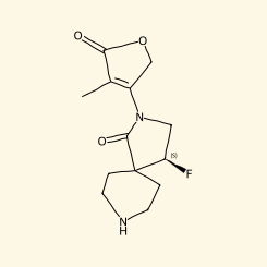 CC1=C(N2C[C@@H](F)C3(CCNCC3)C2=O)COC1=O